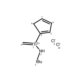 [CH2]=[Ti+2]([NH]C(C)(C)C)[C]1=CC=CC1.[Cl-].[Cl-]